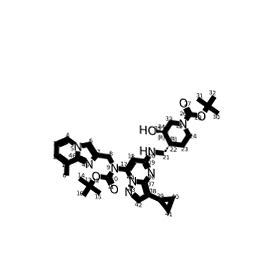 Cc1cccn2cc(CN(C(=O)OC(C)(C)C)c3cc(NC[C@H]4CCN(C(=O)OC(C)(C)C)C[C@@H]4O)nc4c(C5CC5)cnn34)nc12